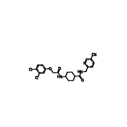 N#Cc1ccc(CNC(=O)C2CCC(NC(=O)COc3ccc(Cl)c(Cl)c3)CC2)nc1